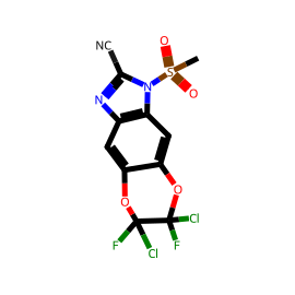 CS(=O)(=O)n1c(C#N)nc2cc3c(cc21)OC(F)(Cl)C(F)(Cl)O3